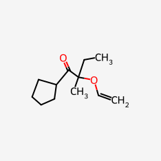 C=COC(C)(CC)C(=O)C1CCCC1